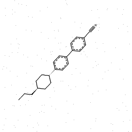 CCC[C@H]1CC[C@H](c2ccc(-c3ccc(C#N)cc3)cc2)CC1